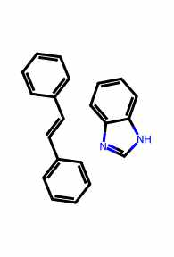 C(=Cc1ccccc1)c1ccccc1.c1ccc2[nH]cnc2c1